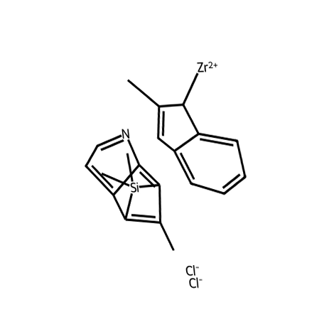 CC1=C2C3=CC=NC3=C1[Si]2(C)C.CC1=Cc2ccccc2[CH]1[Zr+2].[Cl-].[Cl-]